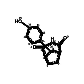 O=c1[nH]c(=O)c2ccc1cc2-c1ccc(O)cc1